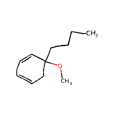 CCCCC1(OC)[CH]C=CC=C1